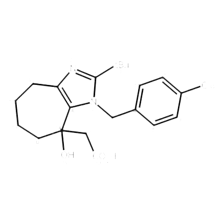 CC(C)(C)c1nc2c(n1Cc1ccc(Cl)cc1)C(O)(CC(=O)O)CCCC2